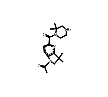 CC(=O)N1CC(C)(C)c2nc(C(=O)N3CCNCC3(C)C)ccc21